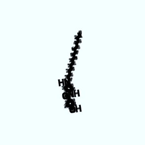 CCCCCCCCCCCCCCCCCCNc1ccc(NC(=O)c2ccc(O)cc2)cc1